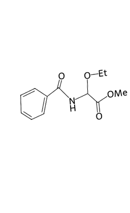 CCOC(NC(=O)c1ccccc1)C(=O)OC